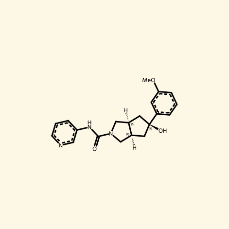 COc1cccc([C@]2(O)C[C@H]3CN(C(=O)Nc4cccnc4)C[C@H]3C2)c1